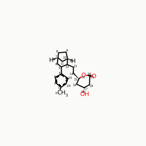 Cc1ccc(C2C[C@@H]3CC[C@@H](C3)C2CC[C@@H]2C[C@@H](O)CC(=O)O2)cc1